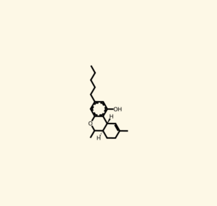 CCCCCc1cc(O)c2c(c1)OC(C)[C@@H]1CCC(C)=C[C@@H]21